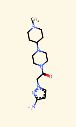 CN1CCC(N2CCN(C(=O)Cn3ccc(N)n3)CC2)CC1